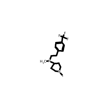 CN(CCc1ccc(C(F)(F)F)cc1)C1CCN(I)CC1